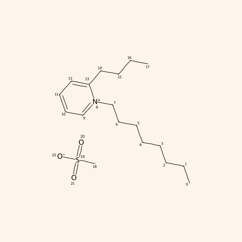 CCCCCCCC[n+]1ccccc1CCCC.CS(=O)(=O)[O-]